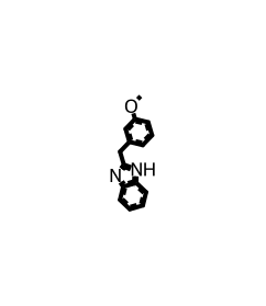 COc1cccc(Cc2nc3ccccc3[nH]2)c1